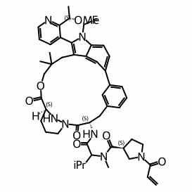 C=CC(=O)N1CC[C@H](C(=O)N(C)C(C(=O)N[C@H]2Cc3cccc(c3)-c3ccc4c(c3)c(c(-c3cccnc3[C@H](C)OC)n4CF)CC(C)(C)COC(=O)[C@@H]3CCCN(N3)C2=O)C(C)C)C1